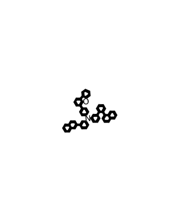 c1cc(-c2ccc3ccccc3c2)cc(N(c2ccc(-c3cccc4c3oc3ccccc34)cc2)c2cccc(-c3ccccc3-c3cccc4ccccc34)c2)c1